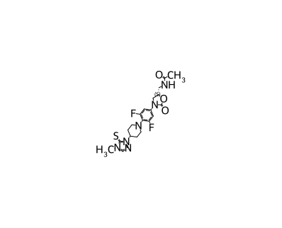 CC(=O)NC[C@H]1CN(c2cc(F)c(N3CCC(n4ncn(C)c4=S)CC3)c(F)c2)C(=O)O1